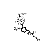 CCCCCC(CC)OP(=O)(O)OC(C)c1cc(CNC(=O)CCC(C)C)ccc1[N+](=O)[O-]